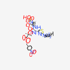 C[C@@H]1[C@H](NC(=O)/C(=N\OC(C)(C)C(=O)OCc2ccc([N+](=O)[O-])cc2)c2csc(N)n2)C(=O)N1S(=O)(=O)O.[NaH]